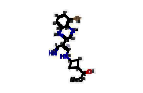 COC(=O)C1CC(N/C=C(\C=N)c2cnc3c(Br)cccc3n2)C1